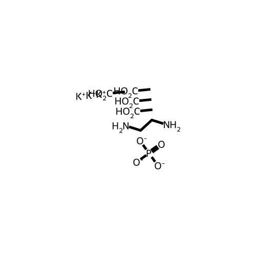 CC(=O)O.CC(=O)O.CC(=O)O.CC(=O)O.NCCN.O=P([O-])([O-])[O-].[K+].[K+].[K+]